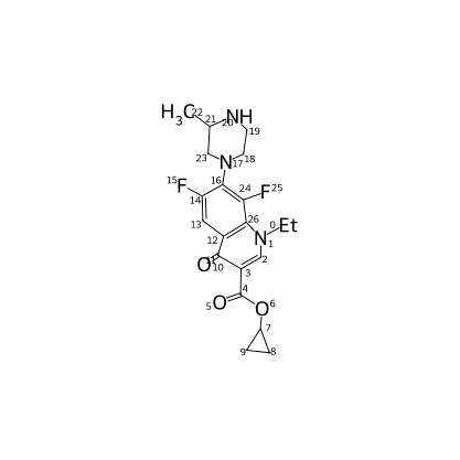 CCn1cc(C(=O)OC2CC2)c(=O)c2cc(F)c(N3CCNC(C)C3)c(F)c21